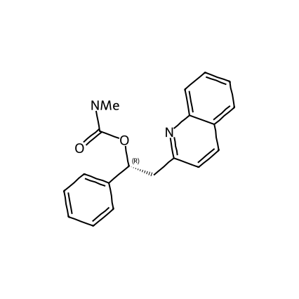 CNC(=O)O[C@H](Cc1ccc2ccccc2n1)c1ccccc1